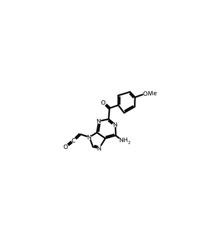 COc1ccc(C(=O)c2nc(N)c3ncn(C=C=O)c3n2)cc1